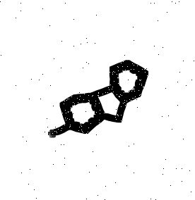 [S]c1ccc2c(c1)Cc1ccccc1-2